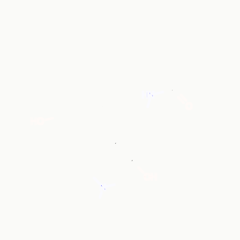 CN1CCC2(c3cccc(O)c3)CC(NC(=O)c3ccccc3)CCC2(O)C1